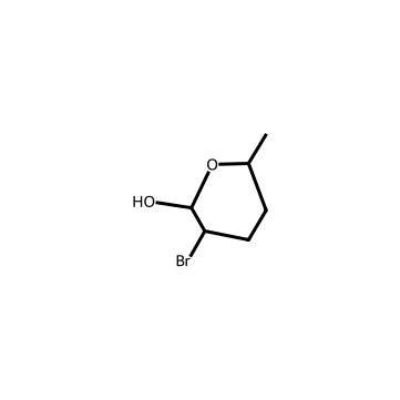 CC1CCC(Br)C(O)O1